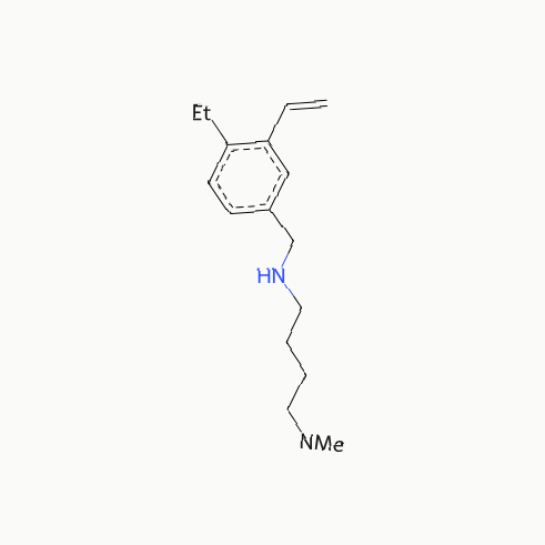 C=Cc1cc(CNCCCCNC)ccc1CC